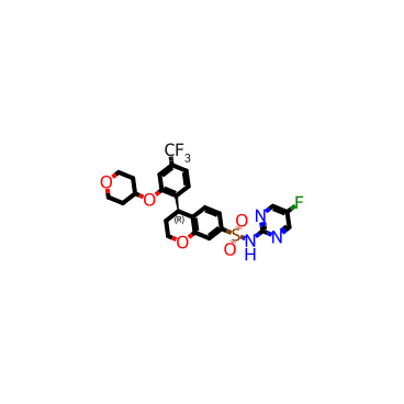 O=S(=O)(Nc1ncc(F)cn1)c1ccc2c(c1)OCC[C@H]2c1ccc(C(F)(F)F)cc1OC1CCOCC1